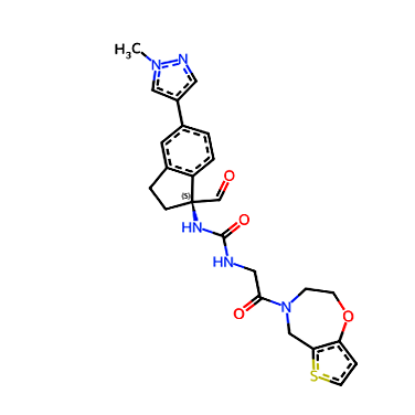 Cn1cc(-c2ccc3c(c2)CC[C@]3(C=O)NC(=O)NCC(=O)N2CCOc3ccsc3C2)cn1